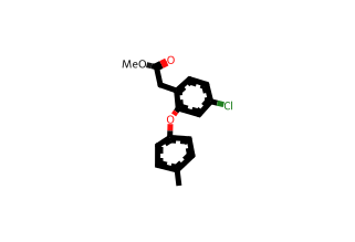 COC(=O)Cc1ccc(Cl)cc1Oc1ccc(C)cc1